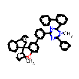 CN1C(c2ccccc2)=NC(c2cccc(-c3ccc4c(c3)C3(c5ccccc5-c5ccccc53)C3CC=CCC3(C)O4)c2)=NC1c1ccccc1-c1ccccc1